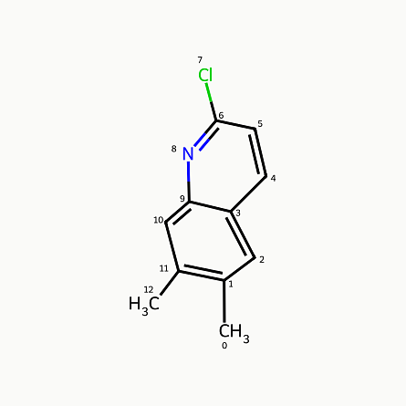 Cc1cc2ccc(Cl)nc2cc1C